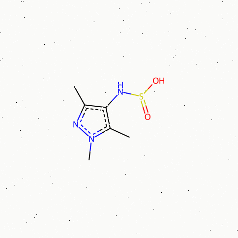 Cc1nn(C)c(C)c1NS(=O)O